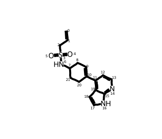 C=CCS(=O)(=O)NC1CC=C(c2ccnc3[nH]ccc23)CC1